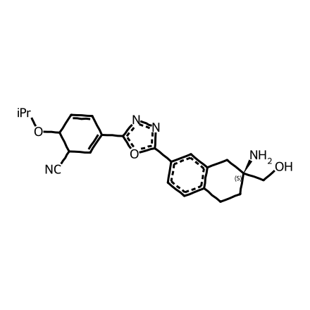 CC(C)OC1C=CC(c2nnc(-c3ccc4c(c3)C[C@](N)(CO)CC4)o2)=CC1C#N